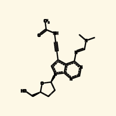 CN(C)/C=N/c1ncnc2c1c(C#CNC(=O)C(F)(F)F)cn2[C@H]1CC[C@@H](CO)O1